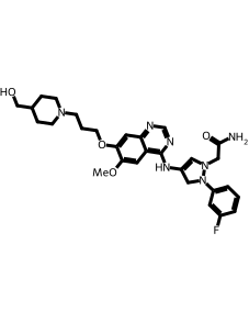 COc1cc2c(NC3=CN(CC(N)=O)N(c4cccc(F)c4)C3)ncnc2cc1OCCCN1CCC(CO)CC1